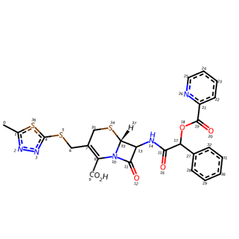 Cc1nnc(SCC2=C(C(=O)O)N3C(=O)C(NC(=O)C(OC(=O)c4ccccn4)c4ccccc4)[C@H]3SC2)s1